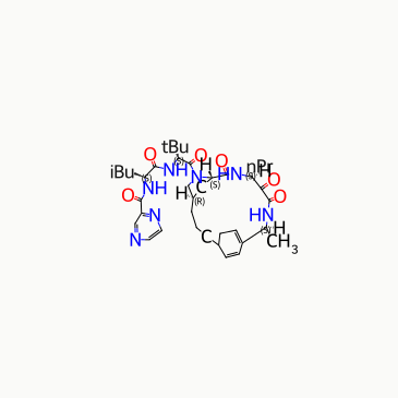 CCC[C@@H]1NC(=O)[C@@H]2C[C@@H](CCCC3C=CC(=CC3)[C@H](C)NC(=O)C1=O)CN2C(=O)[C@@H](NC(=O)[C@@H](NC(=O)c1cnccn1)C(C)CC)C(C)(C)C